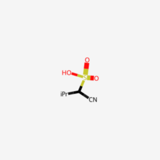 CC(C)C(C#N)S(=O)(=O)O